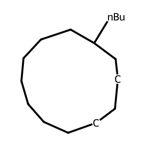 [CH2]CCCC1CCCCCCCCCCC1